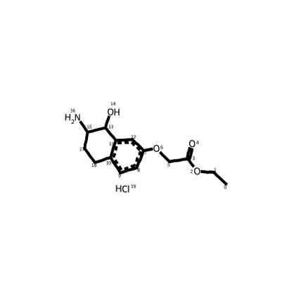 CCOC(=O)COc1ccc2c(c1)C(O)C(N)CC2.Cl